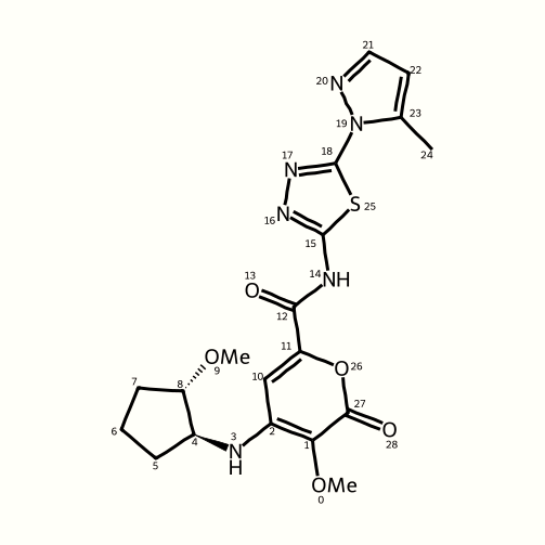 COc1c(N[C@H]2CCC[C@@H]2OC)cc(C(=O)Nc2nnc(-n3nccc3C)s2)oc1=O